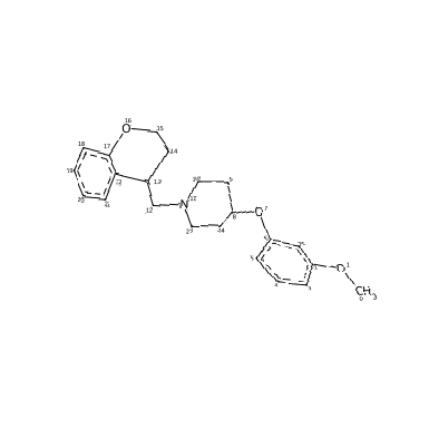 COc1cccc(OC2CCN(CC3CCOc4ccccc43)CC2)c1